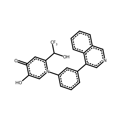 O=c1cc(C(O)C(F)(F)F)n(-c2cccc(-c3cncc4ccccc34)c2)cc1O